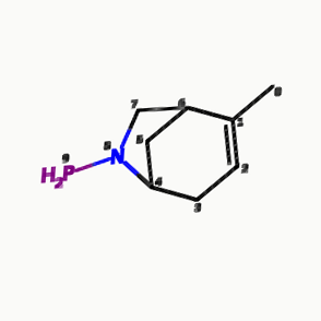 CC1=CCC2CC1CN2P